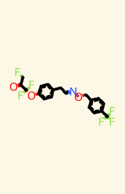 O=C(CF)C(F)(F)Oc1ccc(CC=NOCc2ccc(C(F)(F)F)cc2)cc1